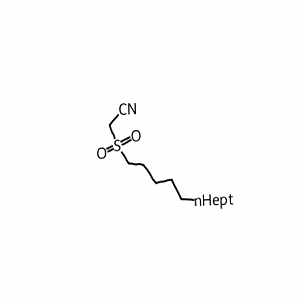 CCCCCCCCCCCCS(=O)(=O)CC#N